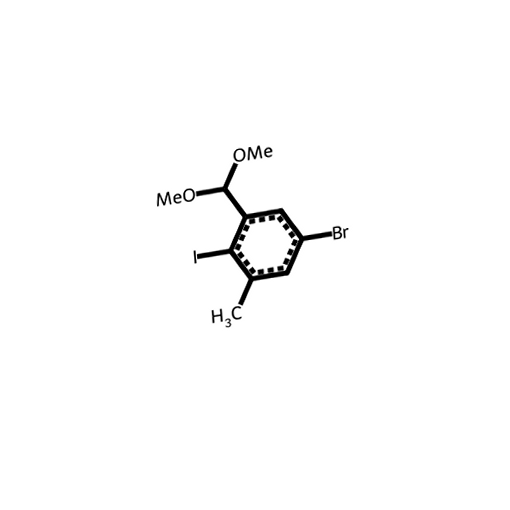 COC(OC)c1cc(Br)cc(C)c1I